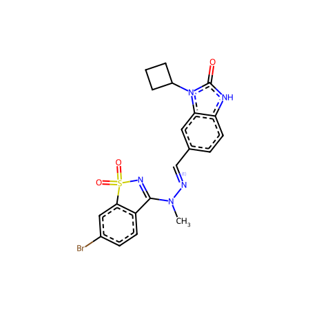 CN(/N=C/c1ccc2[nH]c(=O)n(C3CCC3)c2c1)C1=NS(=O)(=O)c2cc(Br)ccc21